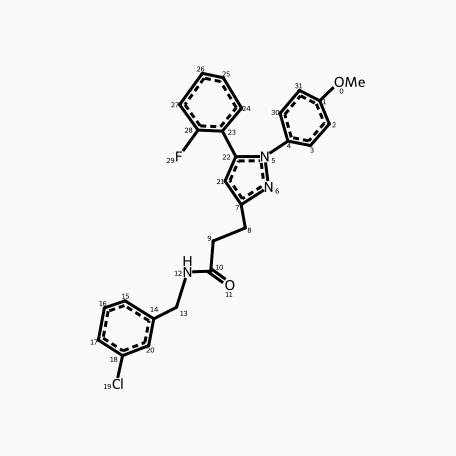 COc1ccc(-n2nc(CCC(=O)NCc3cccc(Cl)c3)cc2-c2ccccc2F)cc1